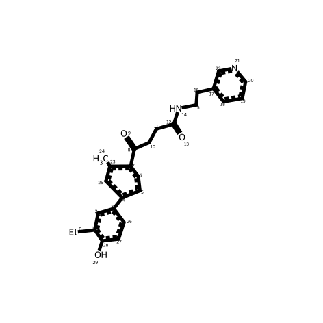 CCc1cc(-c2ccc(C(=O)CCC(=O)NCCc3cccnc3)c(C)c2)ccc1O